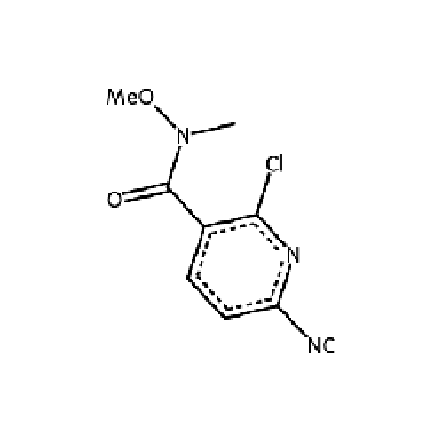 [C-]#[N+]c1ccc(C(=O)N(C)OC)c(Cl)n1